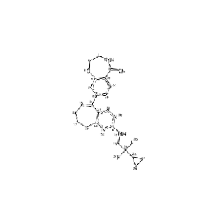 O=C1NCCOc2cc(C3=CCCCc4nc(NCC(F)(F)C5CC5)ncc43)ccc21